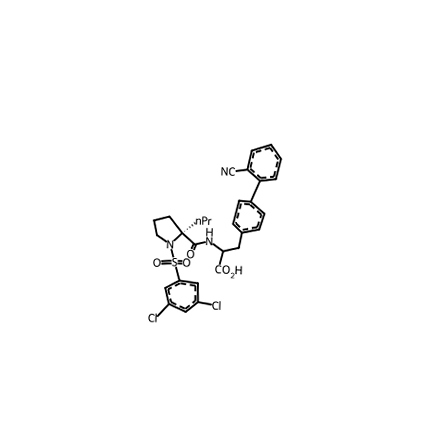 CCC[C@@]1(C(=O)NC(Cc2ccc(-c3ccccc3C#N)cc2)C(=O)O)CCCN1S(=O)(=O)c1cc(Cl)cc(Cl)c1